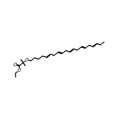 CCC=CCC=CCC=CCC=CCC=CCCCCOC(C)(C)C(=O)OCC